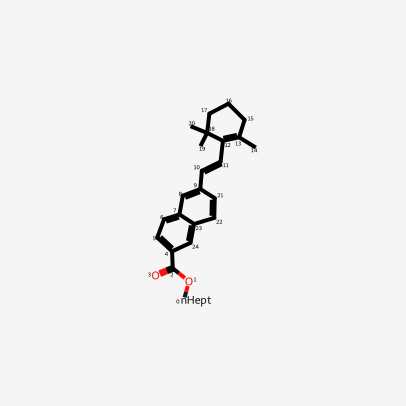 CCCCCCCOC(=O)c1ccc2cc(C=CC3=C(C)CCCC3(C)C)ccc2c1